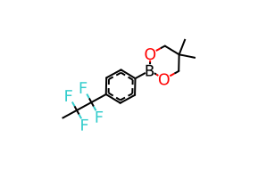 CC1(C)COB(c2ccc(C(F)(F)C(C)(F)F)cc2)OC1